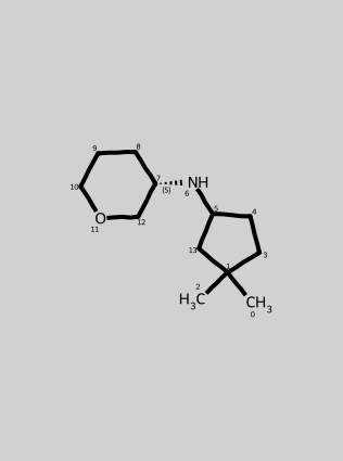 CC1(C)CCC(N[C@H]2CCCOC2)C1